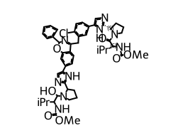 COC(=O)NC(C(C)C)C(O)N1CCCC1c1ncc(-c2ccc3c(c2)OC(c2ccccc2)N=C3Cc2cc(-c3cnc([C@@H]4CCCN4C(=O)[C@@H](NC(=O)OC)C(C)C)[nH]3)ccc2Cl)[nH]1